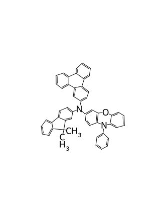 CC1(C)c2ccccc2-c2ccc(N(c3ccc4c(c3)Oc3ccccc3N4c3ccccc3)c3ccc4c5ccccc5c5ccccc5c4c3)cc21